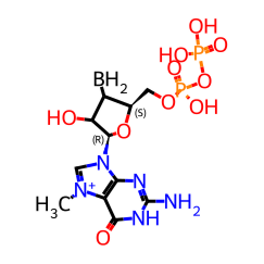 BC1C(O)[C@H](n2c[n+](C)c3c(=O)[nH]c(N)nc32)O[C@@H]1COP(=O)(O)OP(=O)(O)O